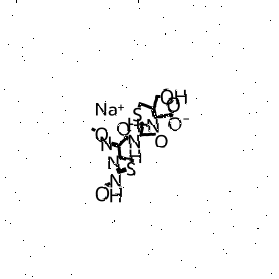 CO/N=C(\C(=O)N[C@@H]1C(=O)N2C(C(=O)[O-])=C(CO)CS[C@@H]12)c1csc(NC=O)n1.[Na+]